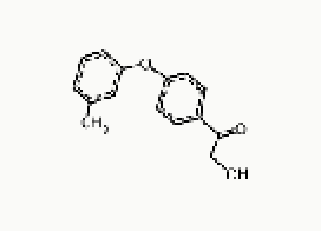 Cc1cccc(Oc2ccc(C(=O)CO)cc2)c1